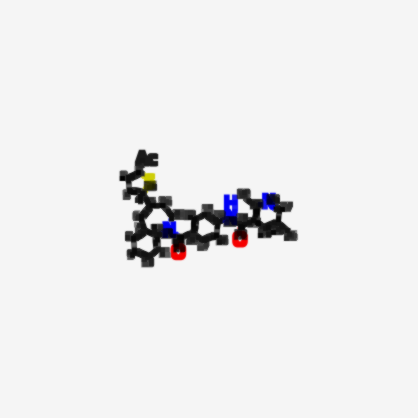 CC(=O)c1ccc(C2=Cc3ccccc3N(C(=O)c3ccc(NC(=O)c4cc(C)cnc4C)cc3)CC2)s1